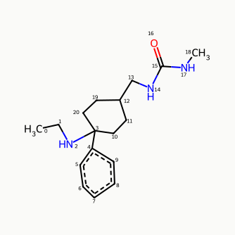 CCNC1(c2ccccc2)CCC(CNC(=O)NC)CC1